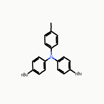 CCCCc1ccc(N(c2ccc(C)cc2)c2ccc(CCCC)cc2)cc1